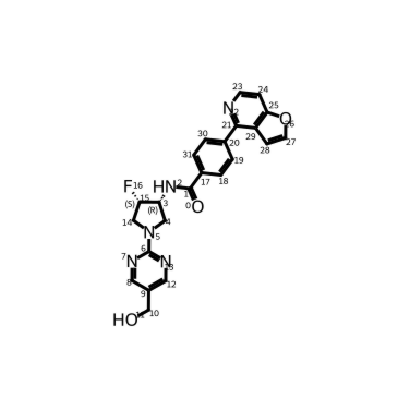 O=C(N[C@@H]1CN(c2ncc(CO)cn2)C[C@@H]1F)c1ccc(-c2nccc3occc23)cc1